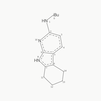 CCC(C)Nc1ccc2c3c([nH]c2n1)CCCC3